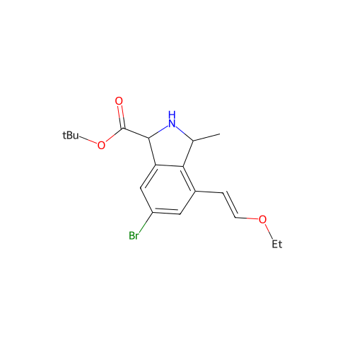 CCOC=Cc1cc(Br)cc2c1C(C)NC2C(=O)OC(C)(C)C